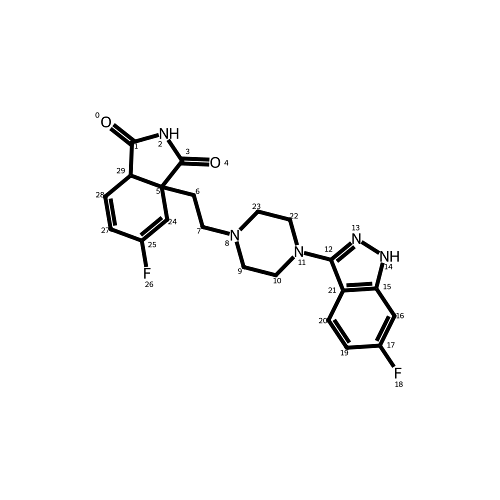 O=C1NC(=O)C2(CCN3CCN(c4n[nH]c5cc(F)ccc45)CC3)C=C(F)C=CC12